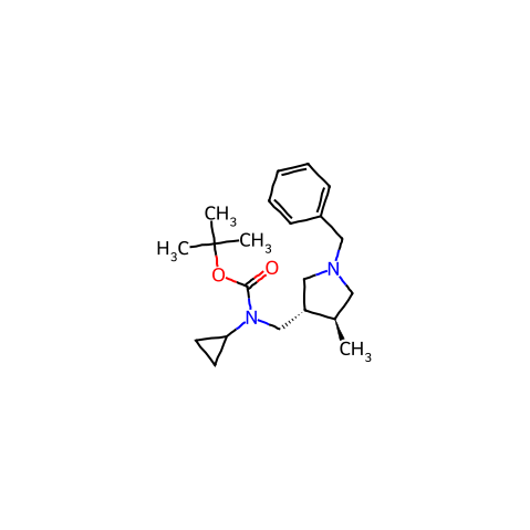 C[C@@H]1CN(Cc2ccccc2)C[C@H]1CN(C(=O)OC(C)(C)C)C1CC1